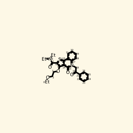 CCOCCOc1c(C(=O)N(CC)CC)sc2c1c(=O)n(CC(=O)c1ccccc1)c1ccccc21